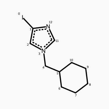 Ic1cn(CC2CCCCC2)cn1